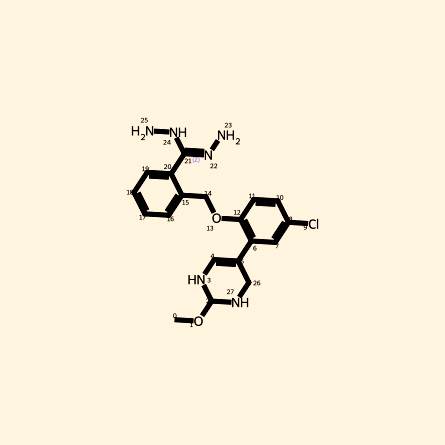 COC1NC=C(c2cc(Cl)ccc2OCc2ccccc2/C(=N/N)NN)CN1